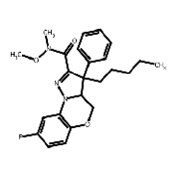 CCCCCC1(c2ccccc2)C(C(=O)N(C)OC)=NN2c3cc(F)ccc3OCC21